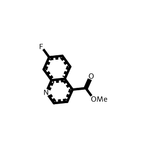 COC(=O)c1ccnc2cc(F)ccc12